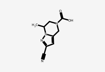 CC1CN(C(=O)O)Cc2cc(C#N)nn21